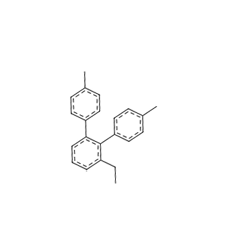 CCc1[c]ccc(-c2ccc(C)cc2)c1-c1ccc(C)cc1